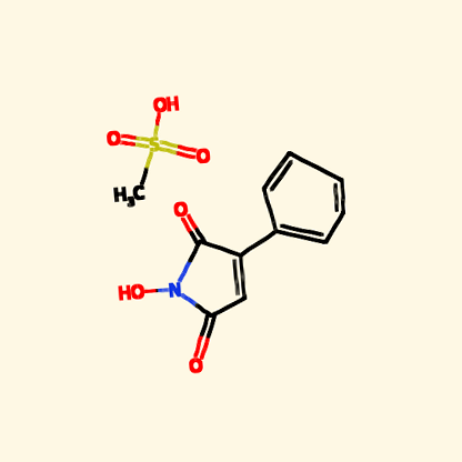 CS(=O)(=O)O.O=C1C=C(c2ccccc2)C(=O)N1O